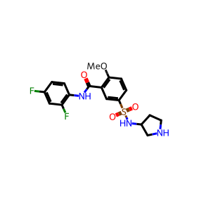 COc1ccc(S(=O)(=O)NC2CCNC2)cc1C(=O)Nc1ccc(F)cc1F